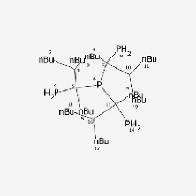 CCCCC(CCCC)C(P)(CCCC)P(C(P)(CCCC)C(CCCC)CCCC)C(P)(CCCC)C(CCCC)CCCC